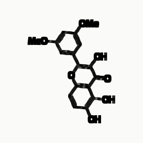 COc1cc(OC)cc(-c2oc3ccc(O)c(O)c3c(=O)c2O)c1